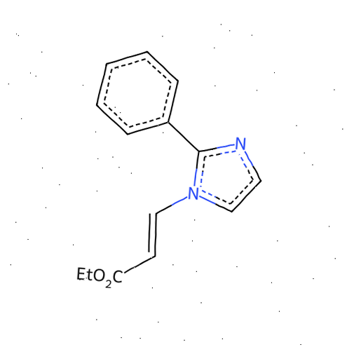 CCOC(=O)/C=C/n1ccnc1-c1ccccc1